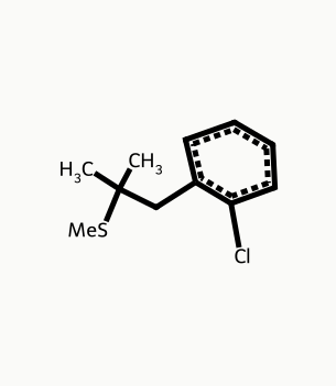 CSC(C)(C)Cc1ccccc1Cl